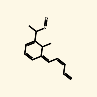 C=C/C=C\C=C1\C=CC=C(C(C)N=O)C1C